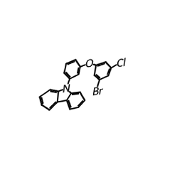 Clc1cc(Br)cc(Oc2cccc(-n3c4ccccc4c4ccccc43)c2)c1